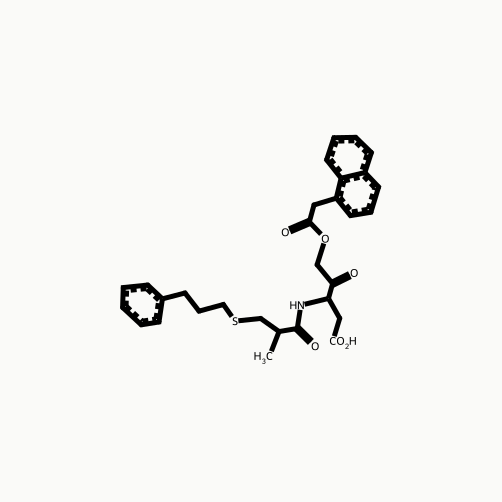 CC(CSCCCc1ccccc1)C(=O)NC(CC(=O)O)C(=O)COC(=O)Cc1cccc2ccccc12